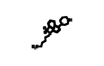 CCCCCCN1c2ccc(N3CCCNCC3)c3cccc(c23)S1(=O)=O